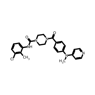 Cc1c(Cl)cccc1NC(=O)N1CCN(C(=O)c2ccc(N(C)c3ccncc3)cc2)CC1